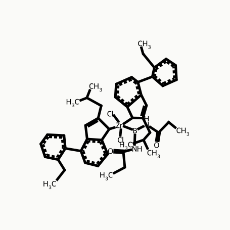 CCC(=O)N[B](NC(=O)CC)[Zr]([Cl])([Cl])([CH]1C(CC(C)C)=Cc2c(-c3ccccc3CC)cccc21)[CH]1C(CC(C)C)=Cc2c(-c3ccccc3CC)cccc21